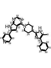 Cc1[nH]c(C2CCN(c3ncnc4[nH]c(-c5ccncc5)cc34)CC2)nc1-c1ccccc1